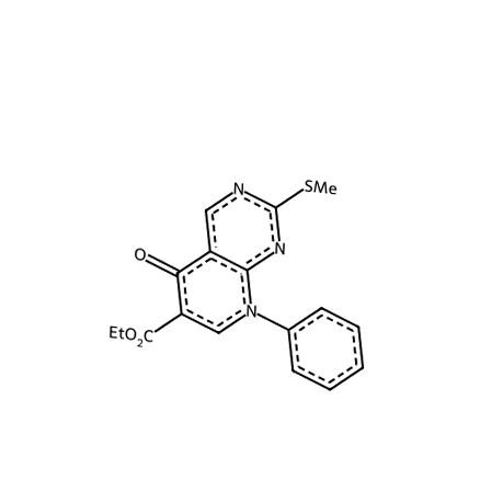 CCOC(=O)c1cn(-c2ccccc2)c2nc(SC)ncc2c1=O